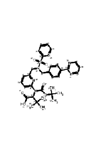 CC(C)(C)OC(=O)N(c1cccc(CN(Cc2ccc(-c3ncccn3)cc2)S(=O)(=O)c2ccccn2)n1)C(C(=O)O)C(C)(C)C